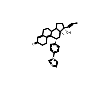 CC#C[C@]1(O)CCC2C3CCC4=CC(=O)CCC4=C3[C@@H](c3ccc(-n4ccnc4)cc3)C[C@@]21C